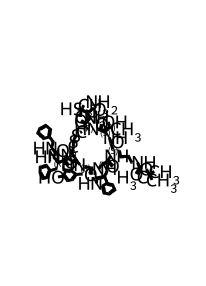 C[C@@H](O)[C@@H]1NC(=O)[C@H](CCCCNC(=O)OC(C)(C)C)NC(=O)[C@@H](Cc2c[nH]c3ccccc23)NC(=O)[C@H](Cc2ccc(O)cc2)NC(=O)[C@@H](NC(=O)[C@@H](Cc2ccccc2)NC(=O)NCc2ccccc2)CSSC[C@@H](C(=O)N[C@@H](C(N)=O)C(C)(C)S)NC1=O